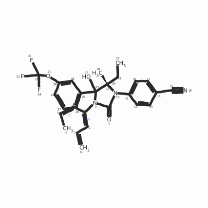 C=C/C=C(\C=C/C)N1C(=O)N(c2ccc(C#N)cc2)[C@@](C)(CC)C1(O)c1cccc(OC(F)(F)F)c1